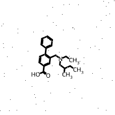 CCC(C)CN(CC)Cc1cc(C(=O)O)ccc1-c1ccccc1